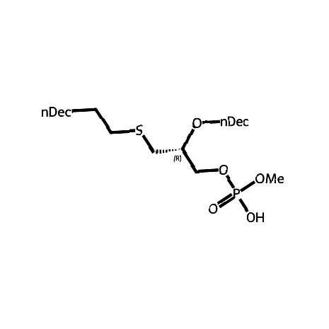 CCCCCCCCCCCCSC[C@@H](COP(=O)(O)OC)OCCCCCCCCCC